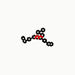 c1ccc(-c2ccccc2-c2c(-c3ccccc3)cccc2N(c2ccc(-c3ccc(-c4ccc5ccccc5c4)cc3)cc2)c2ccc(-c3ccc(-c4cccc5ccccc45)cc3)cc2)cc1